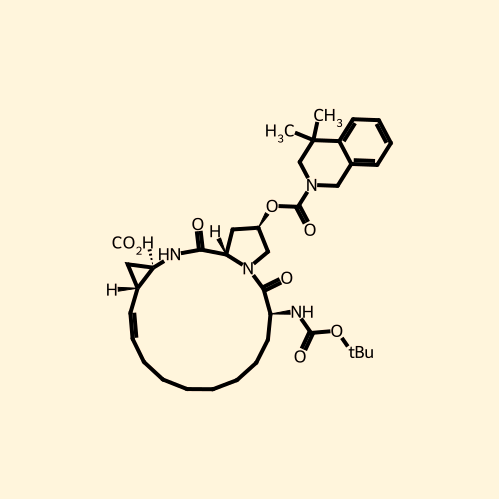 CC(C)(C)OC(=O)N[C@H]1CCCCCCC/C=C\[C@@H]2C[C@@]2(C(=O)O)NC(=O)[C@@H]2C[C@@H](OC(=O)N3Cc4ccccc4C(C)(C)C3)CN2C1=O